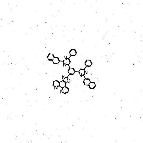 c1ccc(-c2cc(-c3cc(-c4cc(-c5ccccc5)nc(-c5ccc6ccccc6c5)n4)cc(-c4nc5c6cccnc6c6ncccc6c5o4)c3)nc(-c3ccc4ccccc4c3)n2)cc1